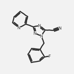 N#Cc1nc(-c2ccccn2)nn1Cc1ccccc1F